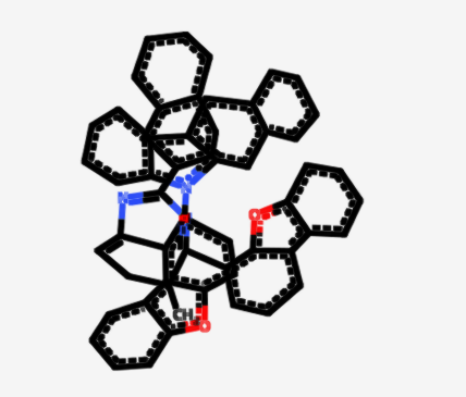 CC1C/C=C(c2c(-n3c4ccccc4c4cc5ccccc5cc43)ccc3oc4ccccc4c23)/N=C(c2ccc3ccccc3c2)\N=C/1c1cccc2c1oc1ccccc12